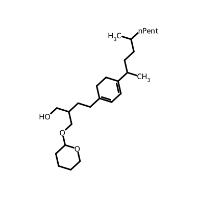 CCCCCC(C)CCC(C)C1=CC=C(CCC(CO)COC2CCCCO2)CC1